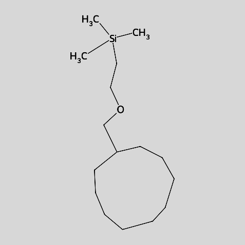 C[Si](C)(C)CCOCC1CCCCCCCCC1